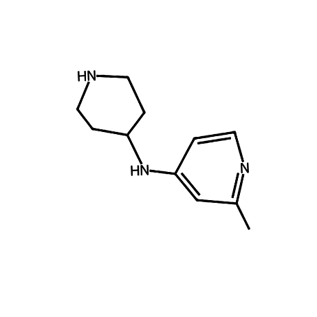 Cc1cc(NC2CCNCC2)ccn1